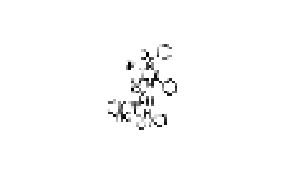 CC(C)C1C(=O)N(CC(=O)N[C@@H](Cc2ccccc2)C(O)C2=NC3(CCCC3)CO2)C(c2ccccc2)=CN1C(=O)c1ccccc1